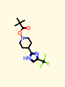 CC(C)(C)C(=O)ON1CCC(c2nc(C(F)(F)F)c[nH]2)CC1